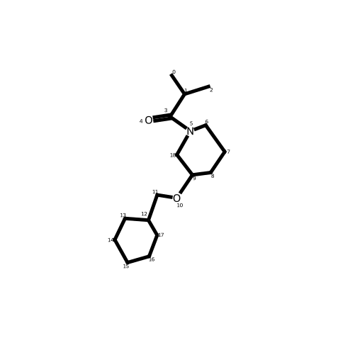 CC(C)C(=O)N1CCCC(OCC2CCCCC2)C1